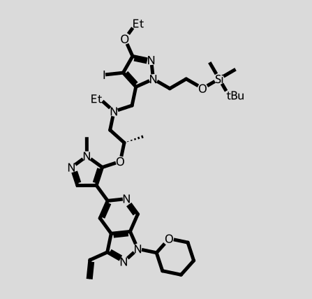 C=Cc1nn(C2CCCCO2)c2cnc(-c3cnn(C)c3O[C@@H](C)CN(CC)Cc3c(I)c(OCC)nn3CCO[Si](C)(C)C(C)(C)C)cc12